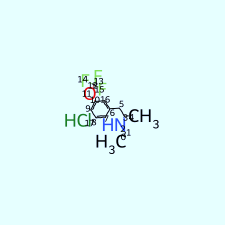 CCNC(C)Cc1cccc(OC(F)(F)F)c1.Cl